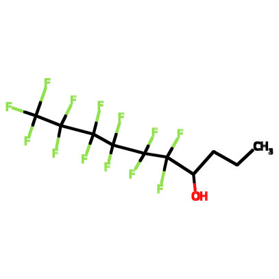 CCCC(O)C(F)(F)C(F)(F)C(F)(F)C(F)(F)C(F)(F)C(F)(F)F